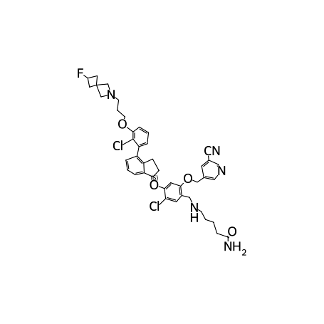 N#Cc1cncc(COc2cc(O[C@H]3CCc4c(-c5cccc(OCCCN6CC7(CC(F)C7)C6)c5Cl)cccc43)c(Cl)cc2CNCCCCC(N)=O)c1